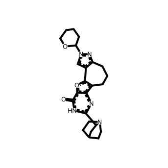 O=c1[nH]c(C2CC3CCN2CC3)nc2c3c(oc12)-c1cn(C2CCCCO2)nc1CCC3